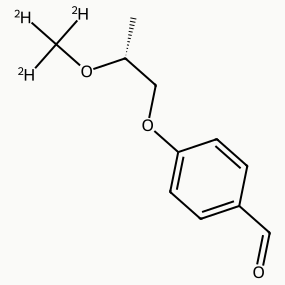 [2H]C([2H])([2H])O[C@H](C)COc1ccc(C=O)cc1